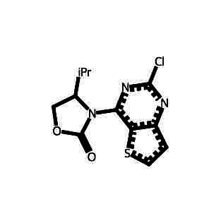 CC(C)C1COC(=O)N1c1nc(Cl)nc2ccsc12